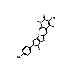 CCN1C(=O)C(C#N)=C(C)/C(=C/c2nc3c(cc(-c4ccc(C#N)cc4)n3C)o2)C1=O